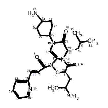 CC(C)C[C@H]1ON(C(=O)/C=C/c2ccccn2)C2=CN(C3CCC(N)CC3)C(=O)[C@H](CC(C)C)N2C1=O